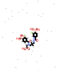 CC(C)(CNC(=O)c1ccc(B(O)O)c(F)c1)CN(CC(=O)O)C(=O)c1ccc(B(O)O)c(F)c1